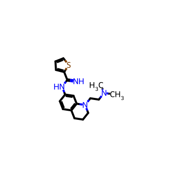 CN(C)CCN1CCCc2ccc(NC(=N)c3cccs3)cc21